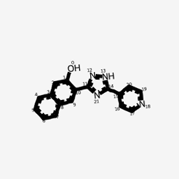 Oc1cc2ccccc2cc1-c1n[nH]c(-c2ccncc2)n1